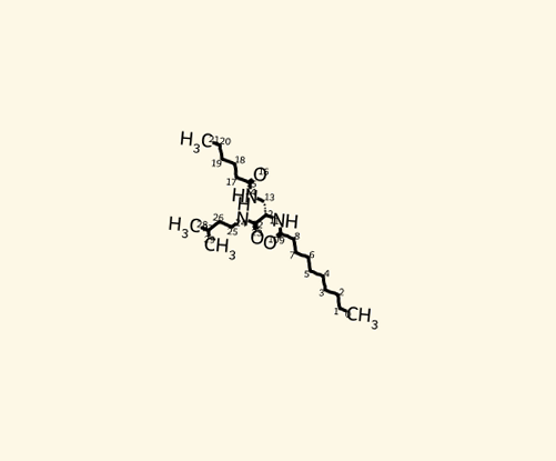 CCCCCCCCCC(=O)N[C@@H](CNC(=O)CCCCC)C(=O)NCCC(C)C